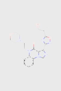 CC(CO)c1nc(-c2ncn3c2c(=O)n(CCN2CCOCC2)c2c(F)cccc23)no1